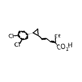 CC/C(=C\C=C\C1C[C@H]1c1ccc(Cl)c(Cl)c1)C(=O)O